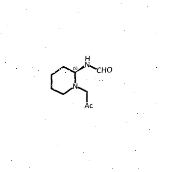 CC(=O)CN1CCCC[C@H]1NC=O